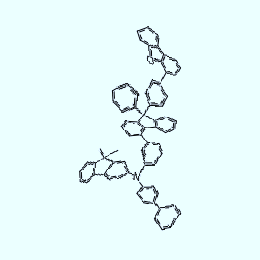 CC1(C)c2ccccc2-c2ccc(N(c3ccc(-c4ccccc4)cc3)c3cccc(-c4cccc5c4-c4ccccc4C5(c4ccccc4)c4ccc(-c5cccc6c5oc5ccccc56)cc4)c3)cc21